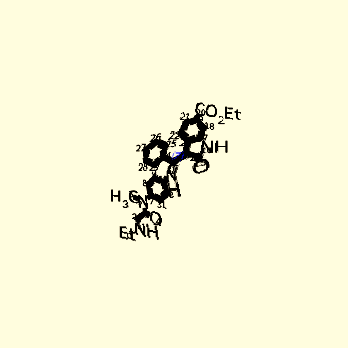 CCNCC(=O)N(C)c1ccc(N/C(=C2\C(=O)Nc3cc(C(=O)OCC)ccc32)c2ccccc2)cc1